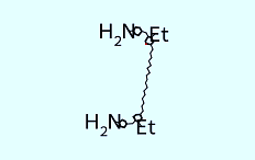 CCc1cc(CCCCCCCCCCCCCCCCCc2ccc(Cc3ccc(N)cc3)c(CC)c2)ccc1Cc1ccc(N)cc1